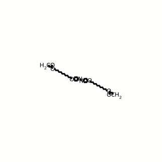 C=CC(=O)OCCCCCCCCCCCOc1ccc(N=Nc2ccc(OCCCCCCCCCCCOC(=O)C=C)cc2)cc1